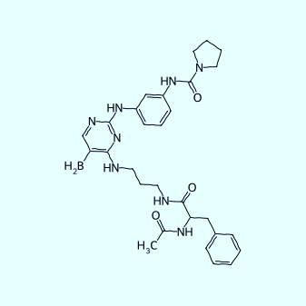 Bc1cnc(Nc2cccc(NC(=O)N3CCCC3)c2)nc1NCCCNC(=O)C(Cc1ccccc1)NC(C)=O